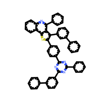 c1ccc(-c2cccc(-c3nc(-c4ccccc4)nc(-c4ccc(-c5sc6c(c(-c7ccccc7)nc7ccccc76)c5-c5cccc(-c6ccccc6)c5)cc4)n3)c2)cc1